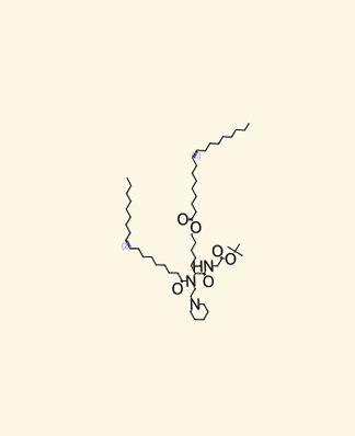 CCCCCCCC/C=C\CCCCCCCC(=O)OCCCCCC(C(=O)NCC(=O)OC(C)(C)C)N(CCN1CCCCC1)C(=O)CCCCCCC/C=C\CCCCCCCC